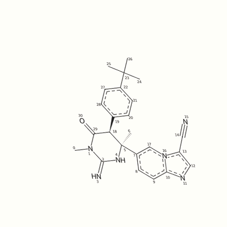 CN1C(=N)N[C@](C)(c2ccc3ncc(C#N)n3c2)[C@H](c2ccc(C(C)(C)C)cc2)C1=O